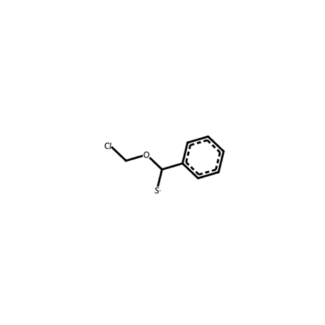 [S]C(OCCl)c1ccccc1